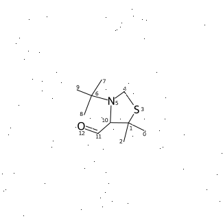 CC1(C)SCN(C(C)(C)C)C1C=O